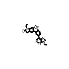 CCN1C(=O)Cc2cc(-c3cc(-c4cnnc5c4ncn5CC)ccc3F)c(OC)cc21